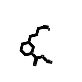 CC(C)(C)OC(=O)N1CCCC(CCCN)C1